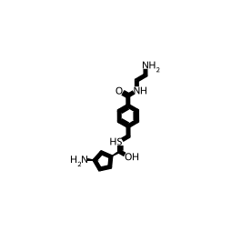 NCCNC(=O)c1ccc(C[SH]=C(O)[C@H]2CC[C@@H](N)C2)cc1